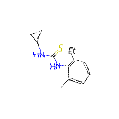 CCc1cccc(C)c1NC(=S)NC1CC1